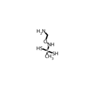 CS(S)(S)NOCN